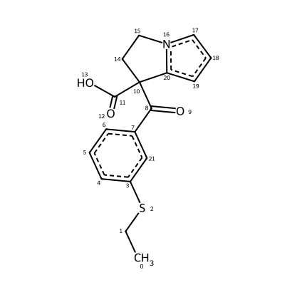 CCSc1cccc(C(=O)C2(C(=O)O)CCn3cccc32)c1